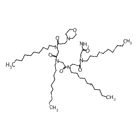 CCCCCCCCCCN(CC(N)=O)C(=O)CN(CCCCCCCCCC)C(=O)CN(CCCCCCCCCC)C(=O)CN(CCCCCCCCCC)C(=O)CN1CCOCC1